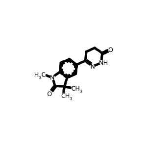 CN1C(=O)C(C)(C)c2cc(C3=NNC(=O)CC3)ccc21